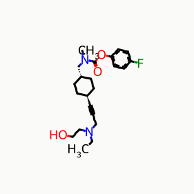 CCN(CC#C[C@H]1CC[C@H](CN(C)C(=O)Oc2ccc(F)cc2)CC1)CCO